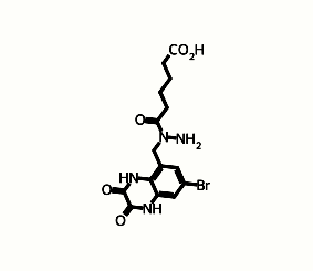 NN(Cc1cc(Br)cc2[nH]c(=O)c(=O)[nH]c12)C(=O)CCCCC(=O)O